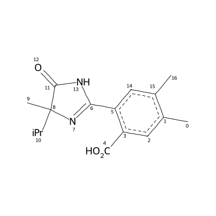 Cc1cc(C(=O)O)c(C2=NC(C)(C(C)C)C(=O)N2)cc1C